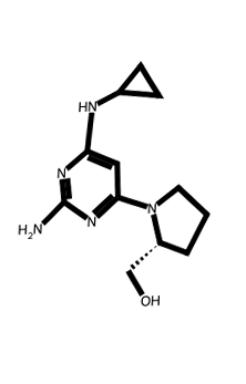 Nc1nc(NC2CC2)cc(N2CCC[C@@H]2CO)n1